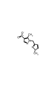 Cc1c([N+](=O)[O-])cnn1Cc1ccn(C)n1